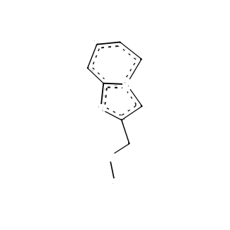 COCc1cn2cc[c]cc2n1